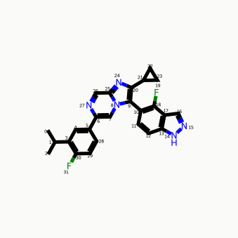 CC(C)c1cc(-c2cn3c(-c4ccc5[nH]ncc5c4F)c(C4CC4)nc3cn2)ccc1F